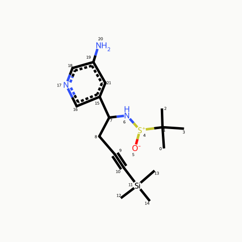 CC(C)(C)[S+]([O-])NC(CC#C[Si](C)(C)C)c1cncc(N)c1